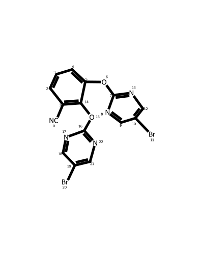 N#Cc1cccc(Oc2ncc(Br)cn2)c1Oc1ncc(Br)cn1